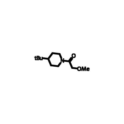 COCC(=O)N1CCC(C(C)(C)C)CC1